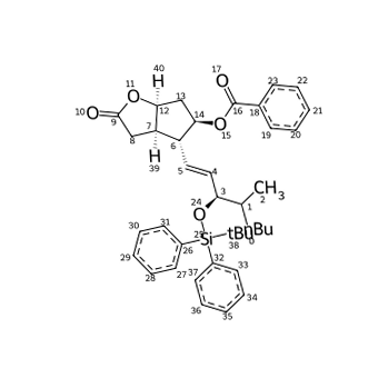 CCCCC(C)[C@H](/C=C/[C@@H]1[C@H]2CC(=O)O[C@H]2C[C@H]1OC(=O)c1ccccc1)O[Si](c1ccccc1)(c1ccccc1)C(C)(C)C